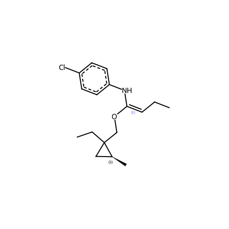 CC/C=C(\Nc1ccc(Cl)cc1)OCC1(CC)C[C@@H]1C